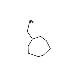 CC(C)CC1CCCCCCC1